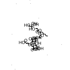 C=CC(=O)OC(CCCCC)OC(=O)C=C.O=C(O)C=COC(C=CC(=O)O)(C=CC(=O)O)C(CO)(CO)C(O)(C=CC(=O)O)C=CC(=O)O.OCC(CO)(CO)CO